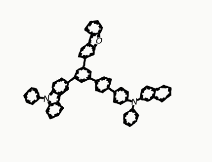 c1ccc(N(c2ccc(-c3ccc(-c4cc(-c5ccc6c(c5)oc5ccccc56)cc(-c5ccc6c(c5)c5ccccc5n6-c5ccccc5)c4)cc3)cc2)c2ccc3ccccc3c2)cc1